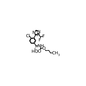 CCCCOC(=O)N[C@H](CO)c1ccc(Cl)c(-c2ncnn2C(F)F)c1